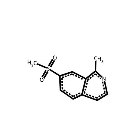 Cc1n[c]cc2ccc(S(C)(=O)=O)cc12